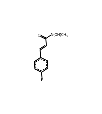 CN(O)C(=O)C=Cc1ccc(F)cc1